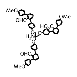 COc1ccc(-c2cccc(-c3ccc(OCC(N)(COc4ccc(-c5cccc(-c6ccc(OC)cc6)c5C=O)cc4)COc4ccc(-c5cccc(-c6ccc(OC)cc6)c5C(=O)O)cc4)cc3)c2C=O)cc1